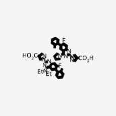 CCN(CC)c1nc(-n2cc(C(=O)O)cn2)nc2cc(F)c(-c3ccccc3C)cc12.Cc1ccccc1-c1cc2c(N3CCCC3)nc(-n3cc(C(=O)O)cn3)nc2cc1F